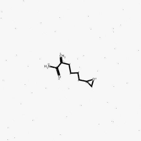 C=C(CCCCC1CO1)C(N)=O